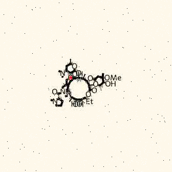 CC[C@H]1OC(=O)[C@H](C)[C@@H](O[C@H]2C[C@@](C)(OC)[C@@H](O)[C@H](C)O2)[C@H](C)[C@@H](O[C@@H]2O[C@H](C)C[C@H](N(C)C)[C@H]2OCCCNC(=O)[C@@H]2CCCN2C)[C@](C)(O)C[C@@H](C)CN(C)[C@H](C)[C@@H](O)[C@]1(C)O